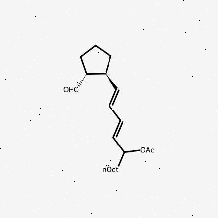 CCCCCCCCC(/C=C/C=C/[C@@H]1CCC[C@H]1C=O)OC(C)=O